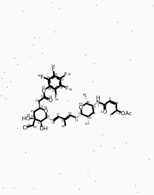 CC(=O)OC(C)/C=C\C(=O)N[C@@H]1C[C@H](C)[C@H](C/C=C(C)/C=C/[C@H]2O[C@H](CC(=O)Oc3c(F)c(F)c(F)c(F)c3F)C[C@@](O)(CCl)[C@@H]2O)O[C@@H]1C